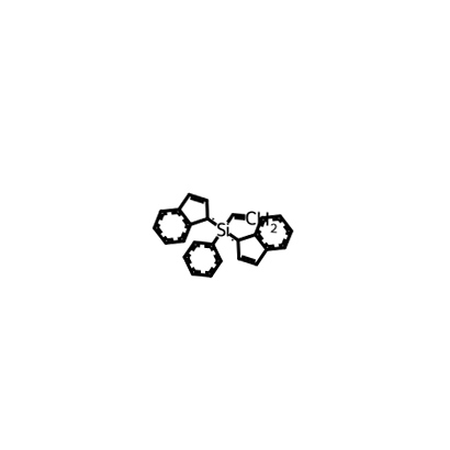 C=C[Si]([C]1C=Cc2ccccc21)([C]1C=Cc2ccccc21)c1ccccc1